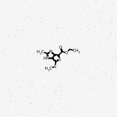 CCOC(=O)c1sc(SC)c2[nH]c(C)nc12